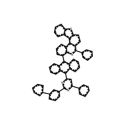 c1ccc(-c2cccc(-c3nc(-c4ccccc4)cc(-c4c5ccccc5c(-c5cccc6c5nc(-c5ccccc5)c5ccc7sc8ccccc8c7c56)c5ccccc45)n3)c2)cc1